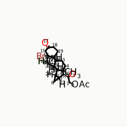 CC(=O)OCC(=O)[C@H]1[C@@H]2C[C@@H]2[C@H]2[C@@H]3C[C@@H](F)[C@@]4(Br)CC(=O)CC[C@]4(C)[C@H]3CC[C@@]21C